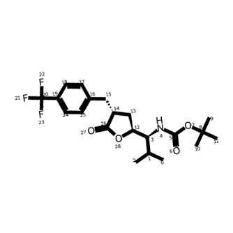 CC(C)[C@H](NC(=O)OC(C)(C)C)[C@@H]1C[C@@H](Cc2ccc(C(F)(F)F)cc2)C(=O)O1